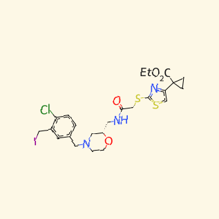 CCOC(=O)C1(c2csc(SCC(=O)NC[C@H]3CN(Cc4ccc(Cl)c(CI)c4)CCO3)n2)CC1